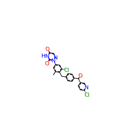 Cc1cc(-n2ncc(=O)[nH]c2=O)cc(Cl)c1Cc1ccc(C(=O)c2ccc(Cl)nc2)cc1